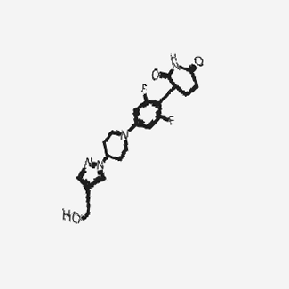 O=C1CCC(c2c(F)cc(N3CCC(n4cc(CO)cn4)CC3)cc2F)C(=O)N1